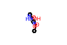 O=C(N[C@H]1CCN(C(=O)OCc2ccccc2)C[C@@H]1O)c1ccccn1